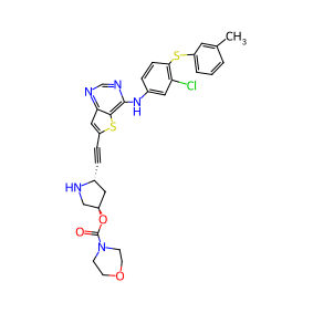 Cc1cccc(Sc2ccc(Nc3ncnc4cc(C#C[C@@H]5C[C@@H](OC(=O)N6CCOCC6)CN5)sc34)cc2Cl)c1